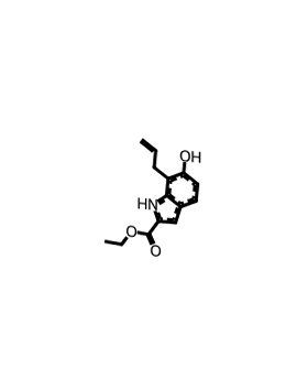 C=CCc1c(O)ccc2cc(C(=O)OCC)[nH]c12